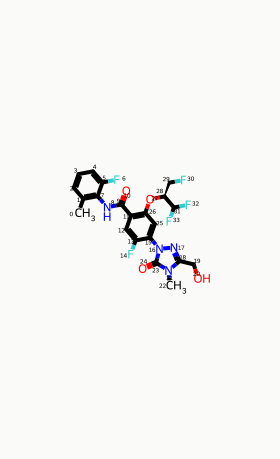 Cc1cccc(F)c1NC(=O)c1cc(F)c(-n2nc(CO)n(C)c2=O)cc1O[C@@H](CF)C(F)F